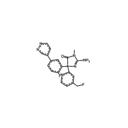 CN1C(=O)C(c2cc(CF)ccn2)(c2cc(-c3ccnnc3)ccc2F)N=C1N